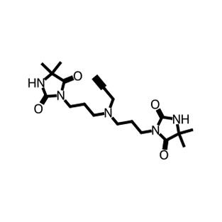 C#CCN(CCCN1C(=O)NC(C)(C)C1=O)CCCN1C(=O)NC(C)(C)C1=O